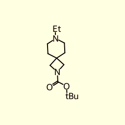 CCN1CCC2(CC1)CN(C(=O)OC(C)(C)C)C2